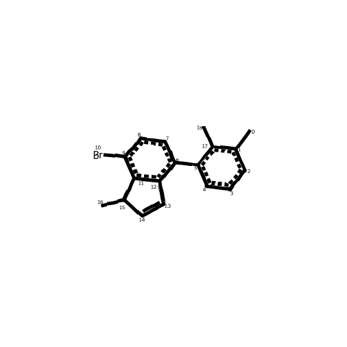 Cc1cccc(-c2ccc(Br)c3c2C=CC3C)c1C